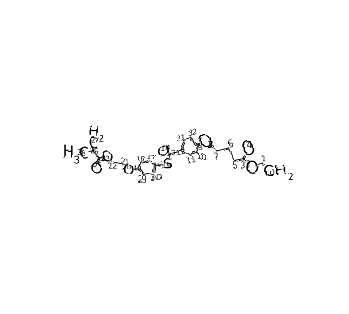 C=COC(=O)CCCOc1ccc(C(=O)Sc2ccc(OCCOC(=O)C(=C)C)cc2)cc1